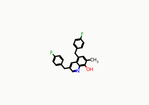 Cc1cc(Cc2ccc(F)cc2)c2cc(Cc3ccc(F)cc3)cnc2c1O